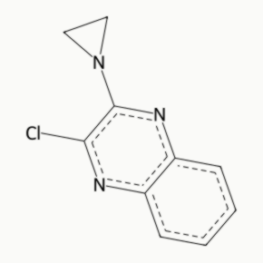 Clc1nc2ccccc2nc1N1CC1